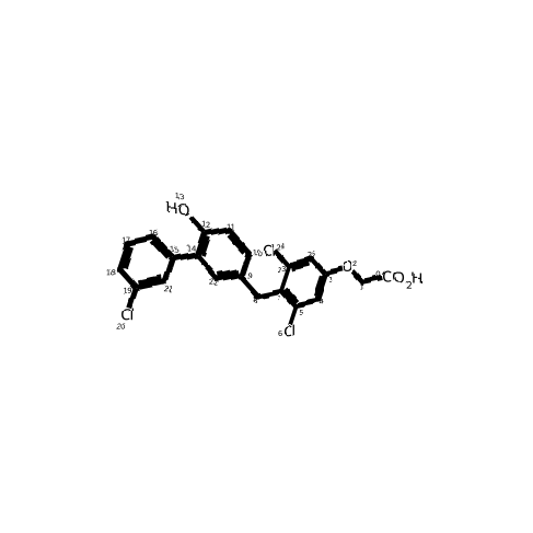 O=C(O)COc1cc(Cl)c(Cc2ccc(O)c(-c3cccc(Cl)c3)c2)c(Cl)c1